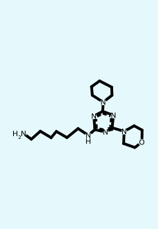 NCCCCCCNc1nc(N2CCCCC2)nc(N2CCOCC2)n1